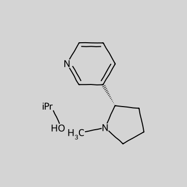 CC(C)O.CN1CCC[C@H]1c1cccnc1